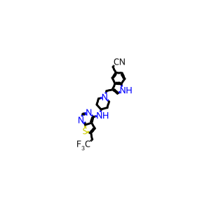 N#CCc1ccc2[nH]cc(CN3CCC(Nc4ncnc5sc(CC(F)(F)F)cc45)CC3)c2c1